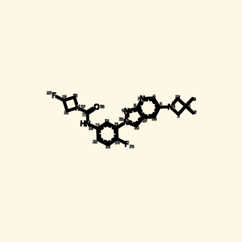 CC1(C)CN(c2cnc3nn(-c4cc(NC(=O)N5CC(F)C5)ccc4F)cc3c2)C1